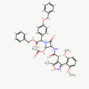 COc1cccc(OC)c1-c1noc(C)c1CC(=O)NC1C(=O)N(C(C(=O)OCc2ccccc2)c2ccc(OCc3ccccc3)cc2)C1OC(C)=O